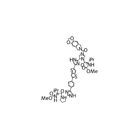 COC(=O)N[C@H](C(=O)N1CN(C(=O)N2Cc3cc4c(cc3C2)OCO4)CC1c1nc(-c2cc3sc(-c4ccc(-c5c[nH]c([C@@H]6CCCN6C(=O)[C@@H](NC(=O)OC)C(C)C)n5)cc4)cc3s2)c[nH]1)C(C)C